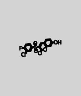 O=c1oc2cc(O)ccc2cc1S(=O)(=O)c1ccc(F)c(Cl)c1